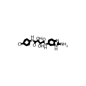 Nc1nc2ccc(NC(=O)[C@H](O)[C@@H](O)C(=O)Nc3ccc(Cl)cc3)cc2[nH]1